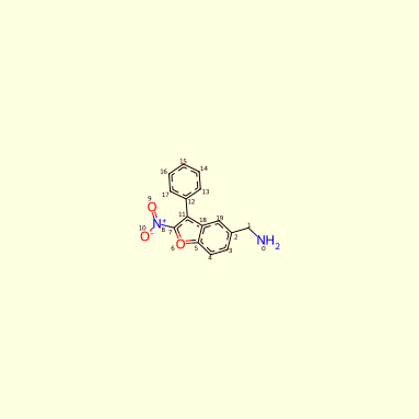 NCc1ccc2oc([N+](=O)[O-])c(-c3ccccc3)c2c1